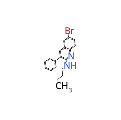 CCCCNc1nc2ccc(Br)cc2cc1-c1ccccc1